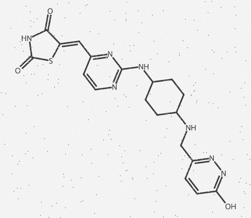 O=C1NC(=O)/C(=C/c2ccnc(NC3CCC(NCc4ccc(O)nn4)CC3)n2)S1